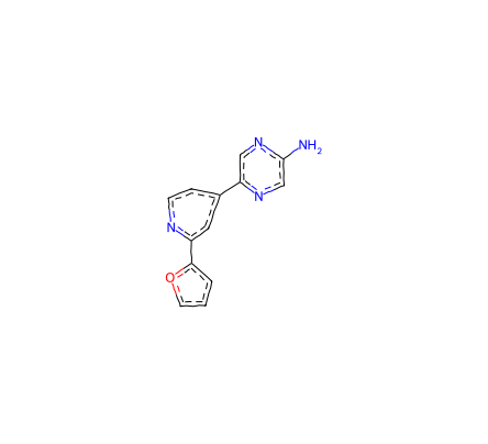 Nc1cnc(-c2ccnc(-c3ccco3)c2)cn1